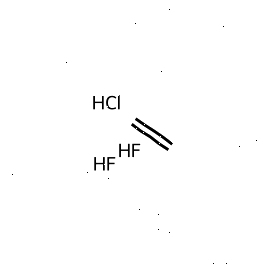 C=C.Cl.F.F